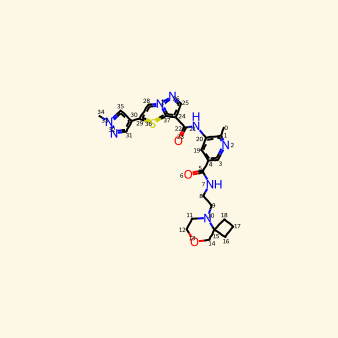 Cc1ncc(C(=O)NCCN2CCOCC23CCC3)cc1NC(=O)c1cnn2cc(-c3cnn(C)c3)sc12